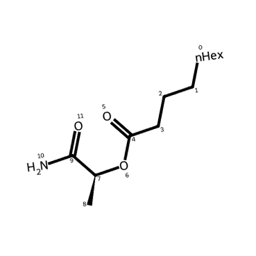 CCCCCCCCCC(=O)O[C@@H](C)C(N)=O